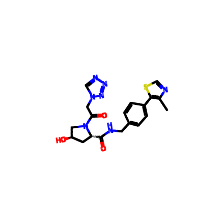 Cc1ncsc1-c1ccc(CNC(=O)[C@@H]2C[C@@H](O)CN2C(=O)Cn2cnnn2)cc1